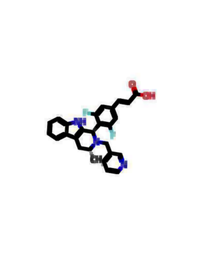 C[C@@H]1Cc2c([nH]c3ccccc23)[C@@H](c2c(F)cc(/C=C/C(=O)O)cc2F)N1Cc1cccnc1